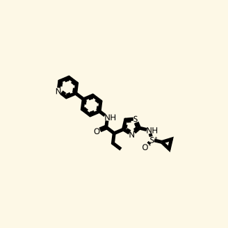 CCC(C(=O)Nc1ccc(-c2cccnc2)cc1)c1csc(N[S+]([O-])C2CC2)n1